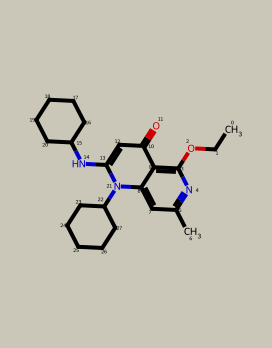 CCOc1nc(C)cc2c1c(=O)cc(NC1CCCCC1)n2C1CCCCC1